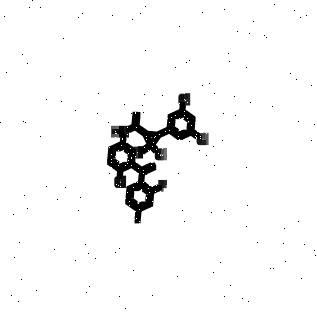 C=C(c1ccc(C)cc1F)c1cc(NC(=C)C2C(c3cc(Cl)cc(Cl)c3)C2(Cl)Cl)ccc1Cl